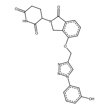 O=C1CCC(N2Cc3c(OCc4cn(-c5cccc(O)c5)nn4)cccc3C2=O)C(=O)N1